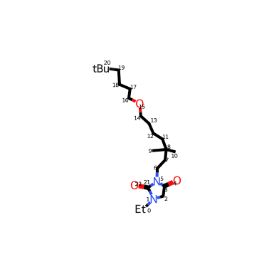 CCN1CC(=O)N(CCC(C)(C)CCCCOCCCCC(C)(C)C)C1=O